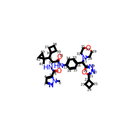 Cn1nccc1C(=O)N[C@H](C(=O)Nc1ccc(C(c2nnc(C3CCC3)o2)N2CCOCC2)cc1)C(C1CCC1)C1(C)CC1